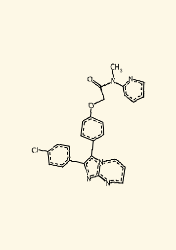 CN(C(=O)COc1ccc(-c2c(-c3ccc(Cl)cc3)nc3ncccn23)cc1)c1ccccn1